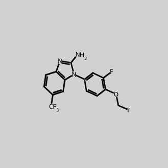 Nc1nc2ccc(C(F)(F)F)cc2n1-c1ccc(OCF)c(F)c1